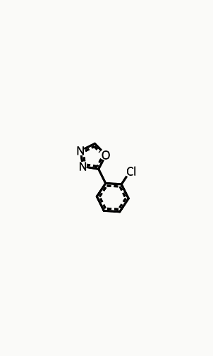 Clc1ccccc1-c1nnco1